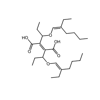 CCCCC(=COC(CC)C(C(=O)O)=C(C(=O)O)C(CC)OC=C(CC)CCCC)CC